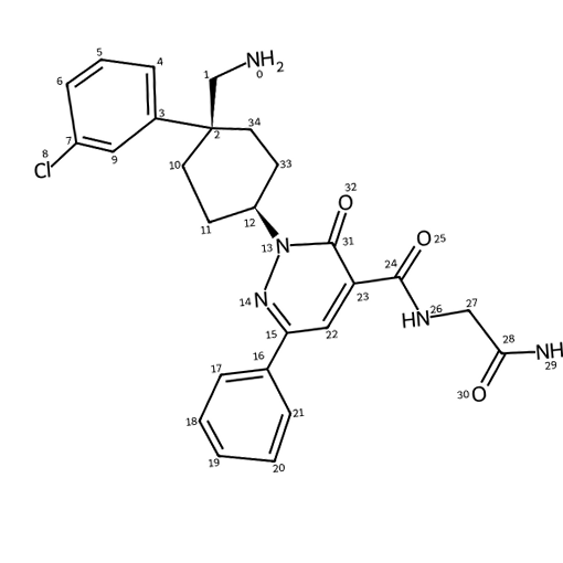 NC[C@]1(c2cccc(Cl)c2)CC[C@H](n2nc(-c3ccccc3)cc(C(=O)NCC(N)=O)c2=O)CC1